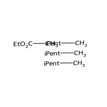 CCCC(C)C.CCCC(C)C.CCCC(C)C.CCOC(C)=O